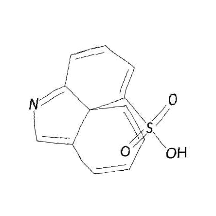 O=S(=O)(O)C1=CC=CC2=NC=C3C=CC=CC312